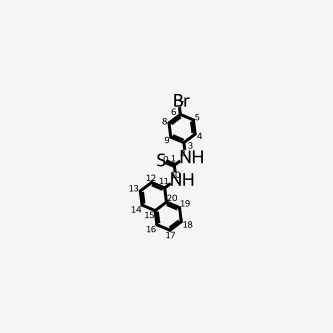 S=C(Nc1ccc(Br)cc1)Nc1cccc2ccccc12